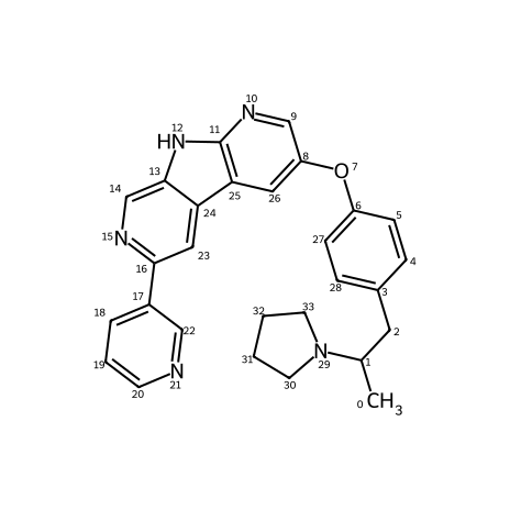 CC(Cc1ccc(Oc2cnc3[nH]c4cnc(-c5cccnc5)cc4c3c2)cc1)N1CCCC1